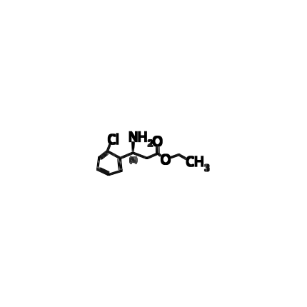 CCOC(=O)C[C@H](N)c1ccccc1Cl